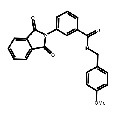 COc1ccc(CNC(=O)c2cccc(N3C(=O)c4ccccc4C3=O)c2)cc1